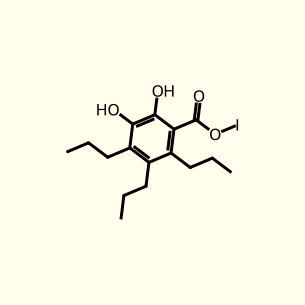 CCCc1c(O)c(O)c(C(=O)OI)c(CCC)c1CCC